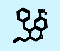 C=CCC1COc2ccc(N)cc2N1Cc1ccccc1